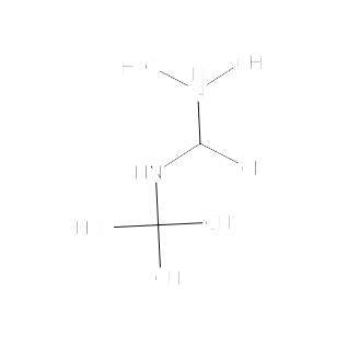 C[SiH](C)C(Cl)NC(C)(C)C